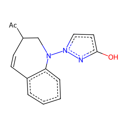 CC(=O)C1C=Cc2ccccc2N(n2ccc(O)n2)C1